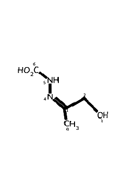 C/C(CO)=N/NC(=O)O